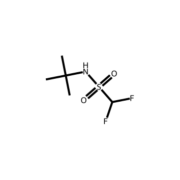 CC(C)(C)NS(=O)(=O)C(F)F